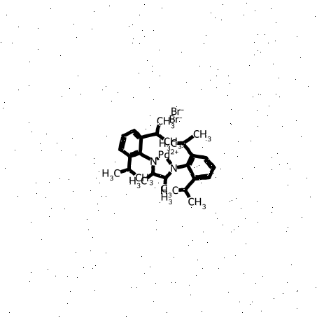 CC(C)c1cccc(C(C)C)c1[N]1[Pd+2][N](c2c(C(C)C)cccc2C(C)C)C(C)C1C.[Br-].[Br-]